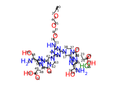 C#CCOCCOCCOCCNc1nc(N2CCN(C(=O)[C@H](CCC(=O)O)n3cc(C(N)CO)nn3)CC2)nc(N2CCN(C(=O)[C@H](CCC(=O)O)n3cc(C(N)CO)nn3)CC2)n1.Cl